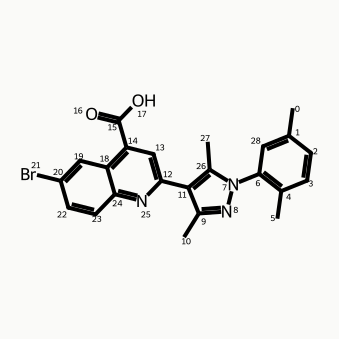 Cc1ccc(C)c(-n2nc(C)c(-c3cc(C(=O)O)c4cc(Br)ccc4n3)c2C)c1